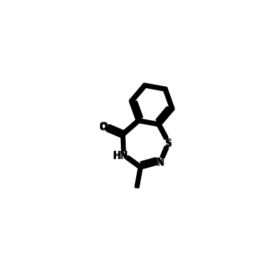 CC1=NSC2=CCCC=C2C(=O)N1